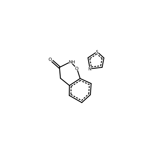 O=C1Cc2ccccc2ON1.c1cscn1